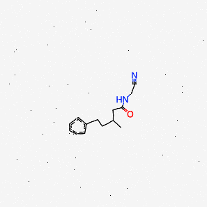 CC(CCc1c[c]ccc1)CC(=O)NCC#N